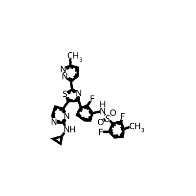 Cc1ccc(-c2nc(-c3cccc(NS(=O)(=O)c4c(F)ccc(C)c4F)c3F)c(-c3ccnc(NC4CC4)n3)s2)nn1